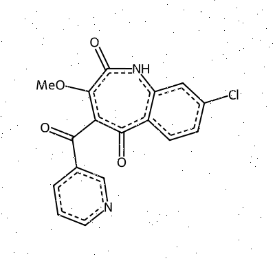 COc1c(C(=O)c2cccnc2)c(=O)c2ccc(Cl)cc2[nH]c1=O